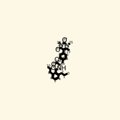 CCCc1cccc(CCC)c1C(=O)N[C@@H](Cc1ccc(-c2c(C)n(C)c(=O)n(C)c2=O)cc1)C(=O)O